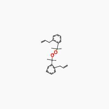 C=CCc1ccccc1C(C)(C)OOC(C)(C)c1ccccc1CC=C